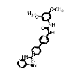 COc1cc(NC(=O)Nc2ccc(C3=CCN(C(=O)Nc4ncccc4C#N)CC3)cc2)cc(OC)c1